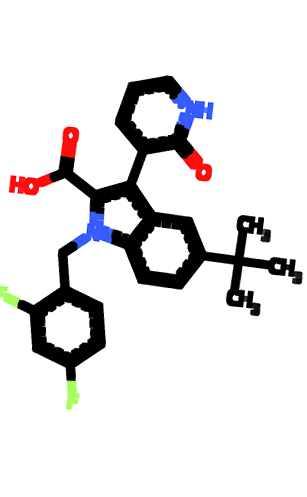 CC(C)(C)c1ccc2c(c1)c(-c1ccc[nH]c1=O)c(C(=O)O)n2Cc1ccc(F)cc1F